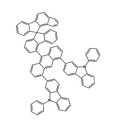 c1ccc(-n2c3ccccc3c3ccc(-c4cccc5c(-c6cccc7c6-c6ccccc6C76c7ccccc7-c7ccc8ccccc8c76)c6cccc(-c7ccc8c9ccccc9n(-c9ccccc9)c8c7)c6cc45)cc32)cc1